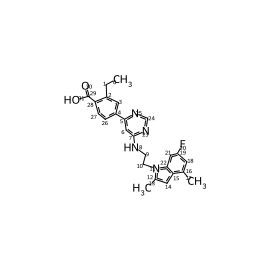 CCc1cc(-c2cc(NCCn3c(C)cc4c(C)cc(F)cc43)ncn2)ccc1C(=O)O